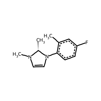 Cc1cc(F)ccc1N1C=CN(C)[C@@H]1C